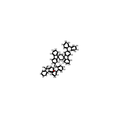 CC1(C)c2ccccc2-c2ccc(N(c3ccc4c(c3)C3(CCC5(CC3)c3ccccc3-c3ccc(-c6ccccc6-c6ccccc6)cc35)c3ccccc3-4)c3ccccc3-c3ccccc3)cc21